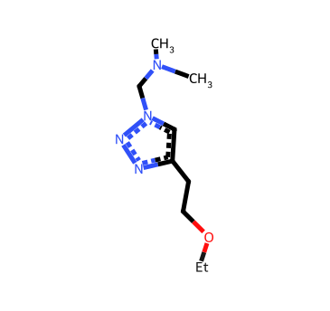 CCOCCc1cn(CN(C)C)nn1